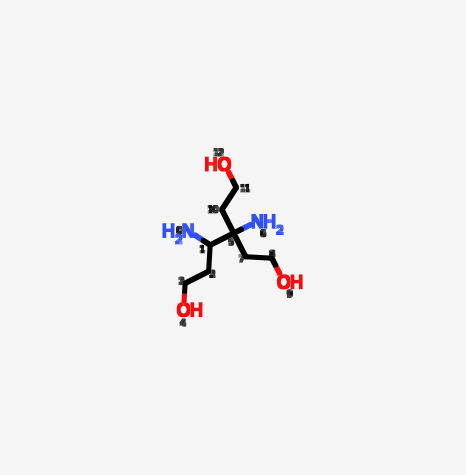 NC(CCO)C(N)(CCO)CCO